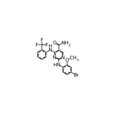 COc1cc(Br)ccc1Nc1ncc(C(N)=O)c(Nc2ccccc2C(F)(F)F)n1